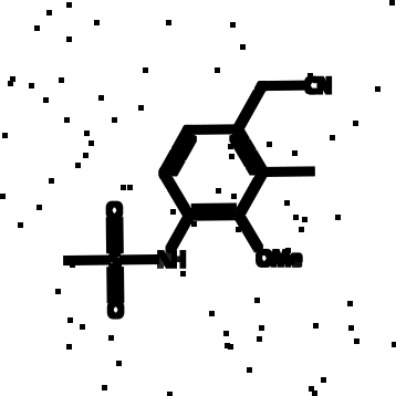 COc1c(NS(C)(=O)=O)ccc(CC#N)c1C